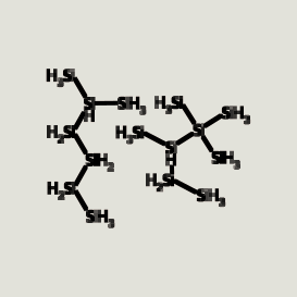 [SiH3][SiH2][SiH2][SiH2][SiH]([SiH3])[SiH3].[SiH3][SiH2][SiH]([SiH3])[Si]([SiH3])([SiH3])[SiH3]